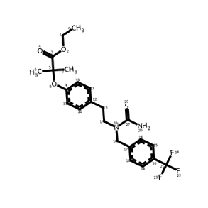 CCOC(=O)C(C)(C)Oc1ccc(CCN(Cc2ccc(C(F)(F)F)cc2)C(N)=S)cc1